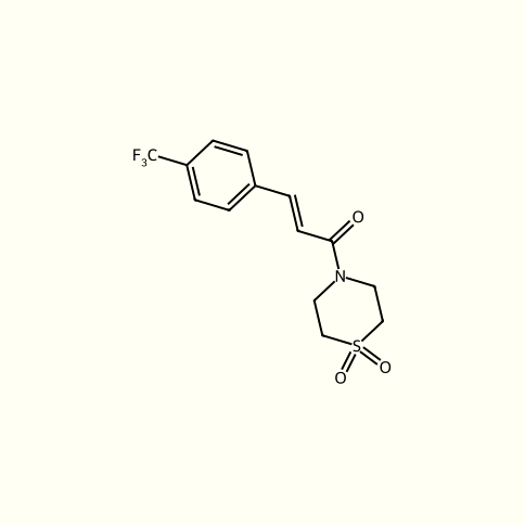 O=C(C=Cc1ccc(C(F)(F)F)cc1)N1CCS(=O)(=O)CC1